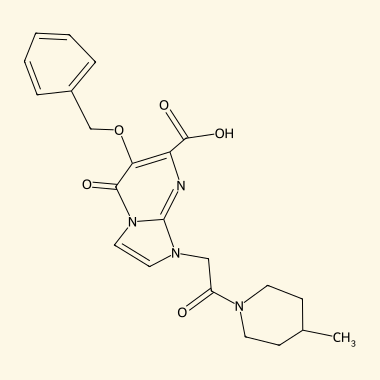 CC1CCN(C(=O)Cn2ccn3c(=O)c(OCc4ccccc4)c(C(=O)O)nc23)CC1